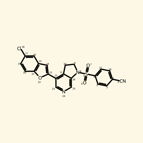 N#Cc1ccc(S(=O)(=O)N2CCc3c(-c4cc5cc(Cl)ccc5o4)cncc32)cc1